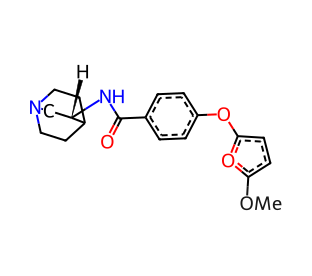 COc1ccc(Oc2ccc(C(=O)N[C@H]3CN4CCC3CC4)cc2)o1